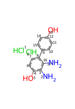 Cl.Cl.Nc1c(O)ccc(-c2ccc(O)cc2)c1N